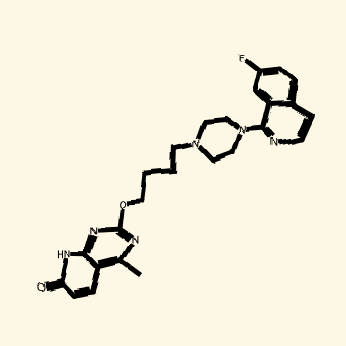 Cc1nc(OCCCCN2CCN(c3nccc4ccc(F)cc34)CC2)nc2[nH]c(=O)ccc12